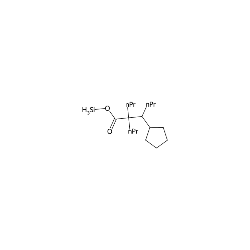 CCCC(C1CCCC1)C(CCC)(CCC)C(=O)O[SiH3]